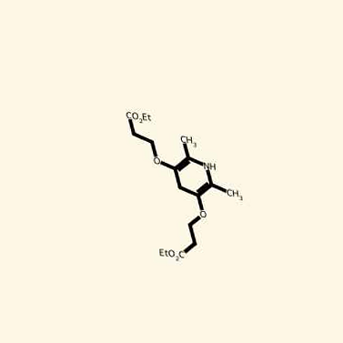 CCOC(=O)CCOC1=C(C)NC(C)=C(OCCC(=O)OCC)C1